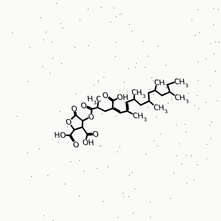 CCC(C)CC(C)CC(C)CC(C)C=C(C)C=C(CC(C)C(=O)OC1C(=O)OC(C(=O)O)C1C(=O)O)C(=O)O